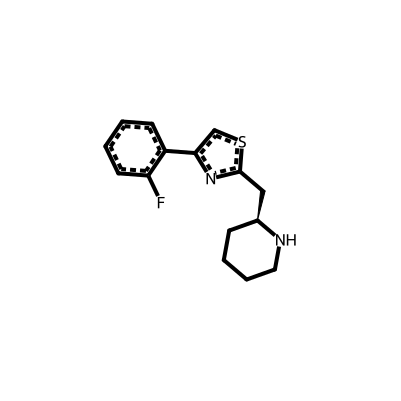 Fc1ccccc1-c1csc(C[C@@H]2CCCCN2)n1